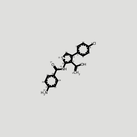 C=C(O)c1c(-c2ccc(Cl)cc2)csc1NC(=O)c1ccc(N)cc1